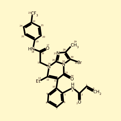 C=CC(=O)Nc1ccccc1-c1c(CC)n(CC(=O)Nc2ccc(C(F)(F)F)cc2)c2nc(C)c(Br)n2c1=O